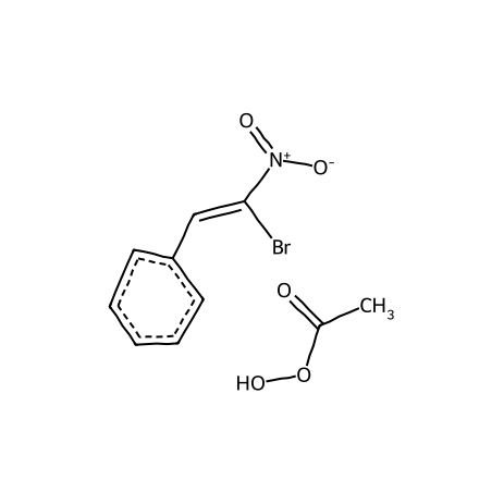 CC(=O)OO.O=[N+]([O-])C(Br)=Cc1ccccc1